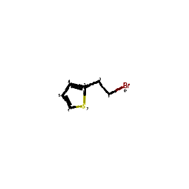 BrC[CH]c1cccs1